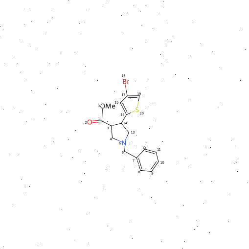 COC(=O)C1CN(Cc2ccccc2)CC1c1cc(Br)cs1